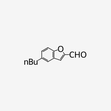 CCCCc1ccc2oc(C=O)cc2c1